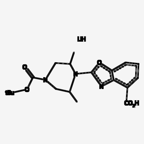 CC1CN(C(=O)OC(C)(C)C)CC(C)N1c1nc2c(C(=O)O)cccc2o1.[LiH]